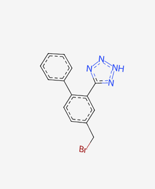 BrCc1ccc(-c2ccccc2)c(-c2nn[nH]n2)c1